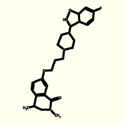 CC1CN(C)C(=O)c2cc(OCCCN3CCC(C4NOC5C=C(F)C=CC54)CC3)ccc21